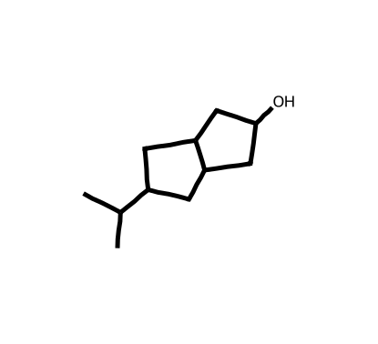 CC(C)C1CC2CC(O)CC2C1